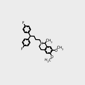 COc1cc2c(cc1OC)C(C)N(CCCC(c1ccc(F)cc1)c1ccc(F)cc1)CC2